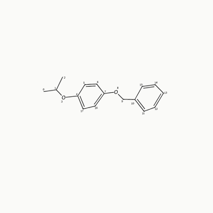 CC(C)Oc1ccc(OCc2ccccc2)cc1